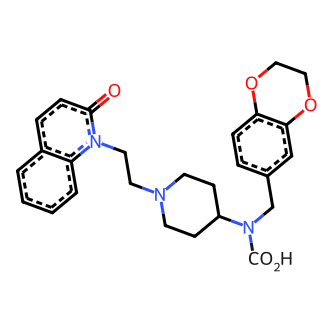 O=C(O)N(Cc1ccc2c(c1)OCCO2)C1CCN(CCn2c(=O)ccc3ccccc32)CC1